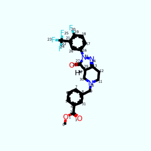 COC(=O)c1cccc(CN2CCC3=NN(c4ccc(F)c(C(F)(F)F)c4)C(=O)[C@@H]3C2)c1